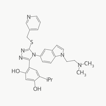 CC(C)c1cc(-c2nnc(SCc3cccnc3)n2-c2ccc3c(ccn3CCN(C)C)c2)c(O)cc1O